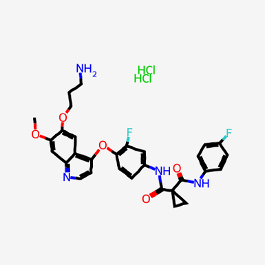 COc1cc2nccc(Oc3ccc(NC(=O)C4(C(=O)Nc5ccc(F)cc5)CC4)cc3F)c2cc1OCCCN.Cl.Cl